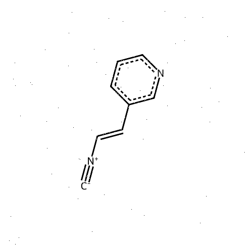 [C-]#[N+]C=Cc1cccnc1